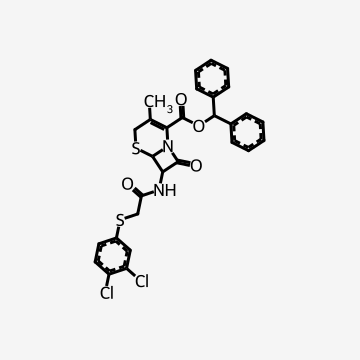 CC1=C(C(=O)OC(c2ccccc2)c2ccccc2)N2C(=O)C(NC(=O)CSc3ccc(Cl)c(Cl)c3)C2SC1